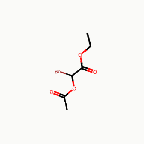 CCOC(=O)C(Br)OC(C)=O